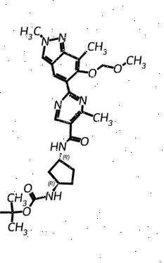 COCOc1c(-c2ncc(C(=O)N[C@@H]3CC[C@@H](NC(=O)OC(C)(C)C)C3)c(C)n2)cc2cn(C)nc2c1C